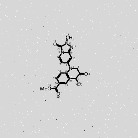 CCC1C(=O)CN(c2ccn3c(=O)n(C)nc3c2)c2ccc(C(=O)OC)cc21